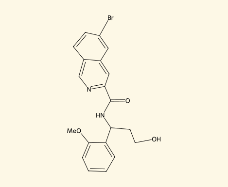 COc1ccccc1C(CCO)NC(=O)c1cc2cc(Br)ccc2cn1